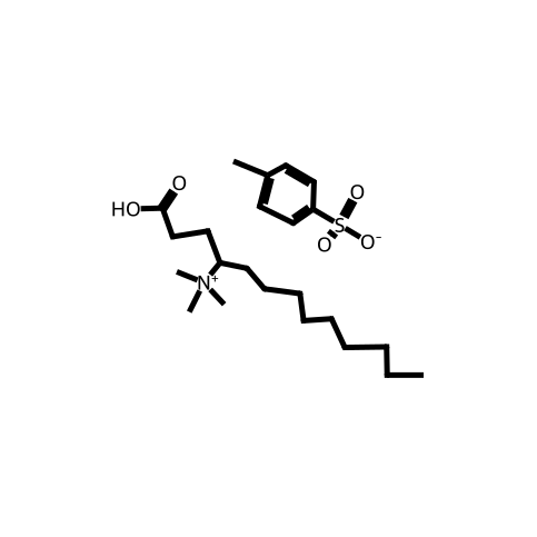 CCCCCCCCCC(CCC(=O)O)[N+](C)(C)C.Cc1ccc(S(=O)(=O)[O-])cc1